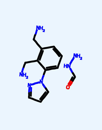 NCc1cccc(-n2cccn2)c1CN.NNC=O